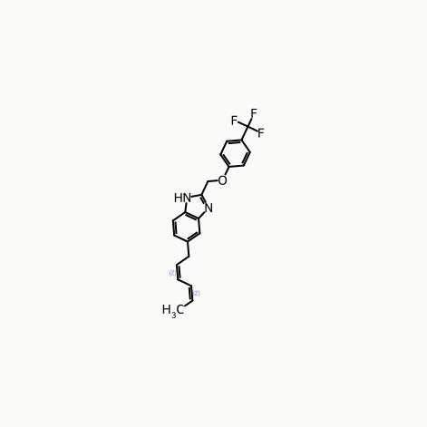 C/C=C\C=C/Cc1ccc2[nH]c(COc3ccc(C(F)(F)F)cc3)nc2c1